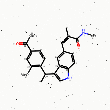 CCCNC(=O)C(C)=Cc1ccc2[nH]cc(C(C)c3ccc(C(=O)OC)cc3OC)c2c1